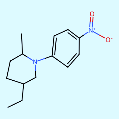 CCC1CCC(C)N(c2ccc([N+](=O)[O-])cc2)C1